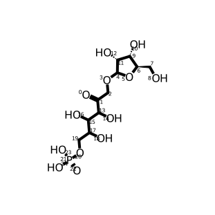 O=C(COC1O[C@H](CO)[C@@H](O)[C@H]1O)C(O)C(O)C(O)COP(=O)(O)O